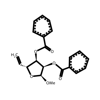 C=C[C@H]1O[C@H](OC)[C@H](OC(=O)c2ccccc2)[C@@H]1OC(=O)c1ccccc1